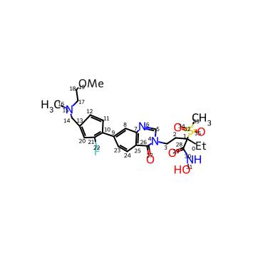 CCC(CCn1cnc2cc(-c3ccc(CN(C)CCOC)cc3F)ccc2c1=O)(C(=O)NO)S(C)(=O)=O